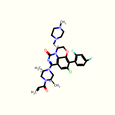 C=CC(=O)N1C[C@H](C)N(c2nc(=O)n3c4c(c(-c5ccc(F)cc5F)c(Cl)cc24)OC[C@H]3CN2CCN(C)CC2)C[C@H]1C